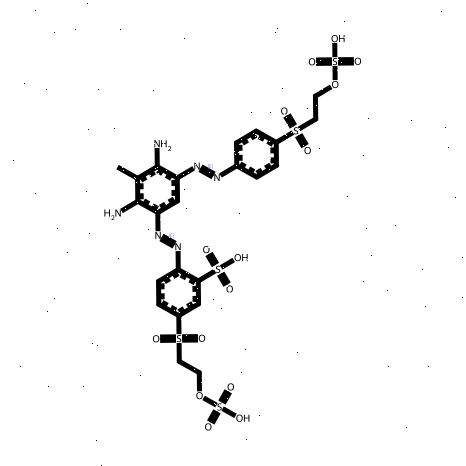 Cc1c(N)c(/N=N/c2ccc(S(=O)(=O)CCOS(=O)(=O)O)cc2)cc(/N=N/c2ccc(S(=O)(=O)CCOS(=O)(=O)O)cc2S(=O)(=O)O)c1N